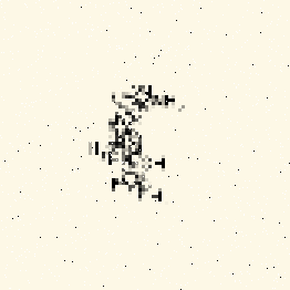 COc1cc(F)cc([C@@H](CO)NC(=O)[C@@H](C)n2ccn3cc(-c4nc(N)ncc4Cl)cc3c2=O)c1